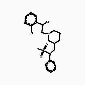 CS(=O)(=O)N(CC1CCCN(CC(O)c2ccccc2Cl)C1)c1ccccc1